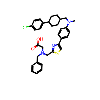 CN(CC1CCC(c2ccc(Cl)cc2)CC1)c1ccc(-c2csc(CN(CC(=O)O)Cc3ccccc3)n2)cc1